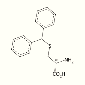 N[C@@H](CSC(c1ccccc1)c1ccccc1)C(=O)O